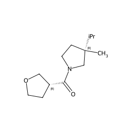 CC(C)[C@@]1(C)CCN(C(=O)[C@@H]2CCOC2)C1